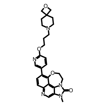 Cn1c(=O)n2c3c4c(c(-c5ccc(OCCCN6CCC7(CC6)COC7)nc5)ccc4ncc31)OCC2